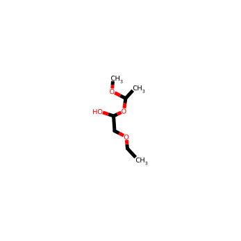 CCOCC(O)OC(C)OC